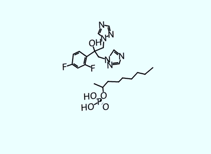 CCCCCCCC(C)OP(=O)(O)O.OC(Cn1cncn1)(Cn1cncn1)c1ccc(F)cc1F